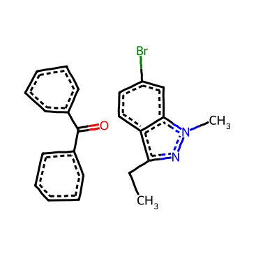 CCc1nn(C)c2cc(Br)ccc12.O=C(c1ccccc1)c1ccccc1